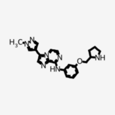 Cn1cc(-c2cnc3c(Nc4cccc(OCC5CCCN5)c4)nccn23)cn1